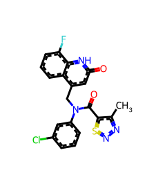 Cc1nnsc1C(=O)N(Cc1cc(=O)[nH]c2c(F)cccc12)c1cccc(Cl)c1